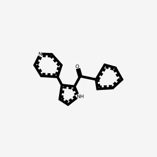 O=C(c1ccccc1)c1[nH]ccc1-c1ccncc1